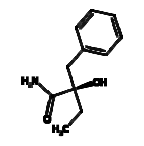 CC[C@@](O)(Cc1ccccc1)C(N)=O